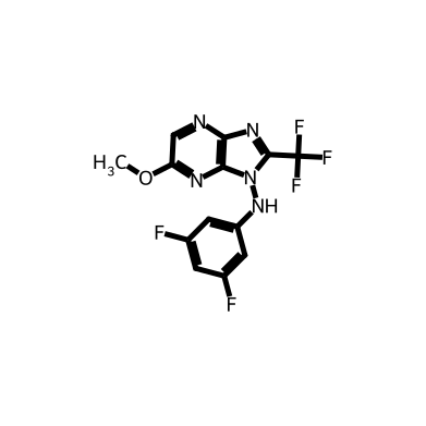 COc1cnc2nc(C(F)(F)F)n(Nc3cc(F)cc(F)c3)c2n1